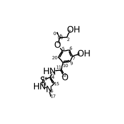 C[C@@H](CO)Oc1cc(O)cc(C(=O)NC2=CN(C)NS2)c1